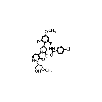 COCC(CO)n1nccc(N2C[C@@H](c3c(F)cc(OC)cc3F)[C@H](NC(=O)c3ccc(Cl)cc3)C2=O)c1=O